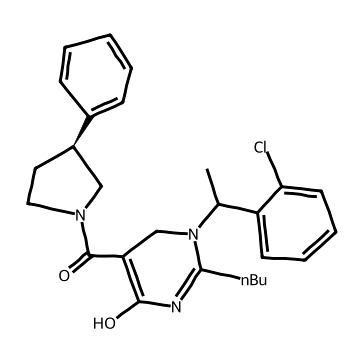 CCCCC1=NC(O)=C(C(=O)N2CC[C@@H](c3ccccc3)C2)CN1C(C)c1ccccc1Cl